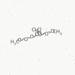 COCCOCCOCC(COCCOCCOC)C[Si](Cl)(Cl)Cl